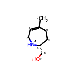 CC1=CCN[C@@H](CO)CC1